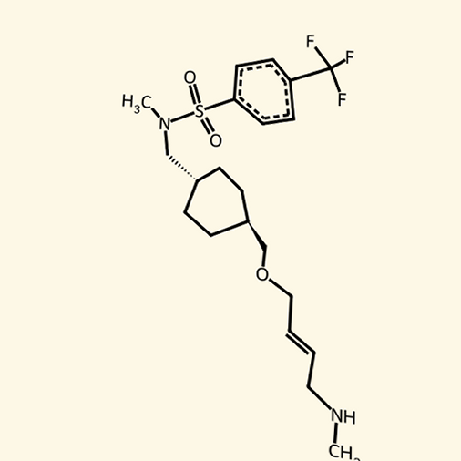 CNCC=CCOC[C@H]1CC[C@H](CN(C)S(=O)(=O)c2ccc(C(F)(F)F)cc2)CC1